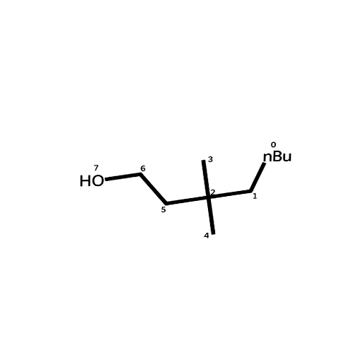 CCCCCC(C)(C)CCO